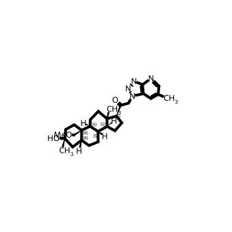 COC[C@]12CC[C@@](C)(O)C[C@H]1CC[C@H]1[C@@H]3CC[C@H](C(=O)Cn4nnc5ncc(C)cc54)[C@@]3(C)CC[C@@H]12